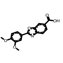 COc1ccc(-c2nc3ccc(C(=O)O)cc3o2)cc1OC